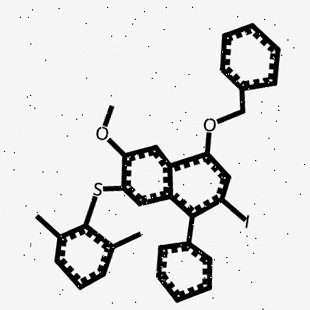 COc1cc2c(OCc3ccccc3)cc(I)c(-c3ccccc3)c2cc1Sc1c(C)cccc1C